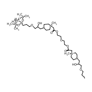 C[N+]1(CC(=O)OCCOCCOC(=O)C[N+]2(C)CCN(CC(O)COCCC[Si](C)(O[Si](C)(C)C)O[Si](C)(C)C)CC2)CCN(CC(O)COCCI)CC1